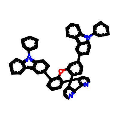 c1ccc(-n2c3ccccc3c3cc(-c4ccc5c(c4)Oc4c(-c6ccc7c(c6)c6ccccc6n7-c6ccccc6)cccc4C54c5cccnc5-c5ncccc54)ccc32)cc1